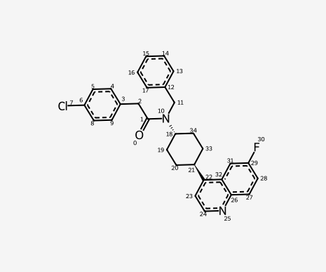 O=C(Cc1ccc(Cl)cc1)N(Cc1ccccc1)[C@H]1CC[C@H](c2ccnc3ccc(F)cc32)CC1